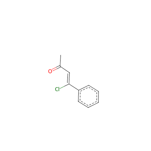 CC(=O)C=C(Cl)c1ccccc1